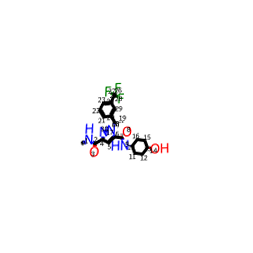 CNC(=O)c1cc(C(=O)N[C@H]2CC[C@H](O)CC2)n([C@@H](C)c2cccc(C(F)(F)F)c2)n1